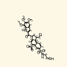 COc1cc2cc(C(=O)N3CC(CCl)c4c3cc([N+](=O)[O-])c3cc(S(=O)(=O)NCCO)ccc43)[nH]c2c(OC)c1OC